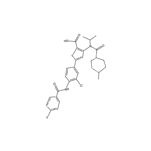 CC1CCC(C(=O)N(c2cc(-c3ccc(NC(=O)c4ccc(F)cc4)c(Cl)c3)sc2C(=O)O)C(C)C)CC1